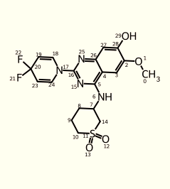 COc1cc2c(NC3CCCS(=O)(=O)C3)nc(N3C=CC(F)(F)C=C3)nc2cc1O